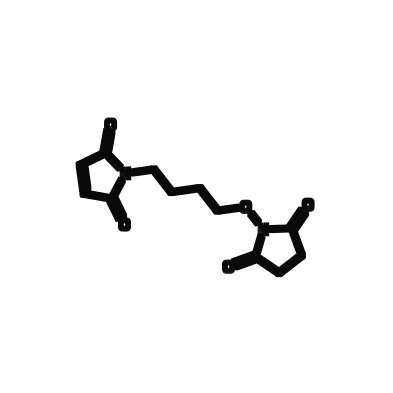 O=C1C=CC(=O)N1CCCCON1C(=O)CCC1=O